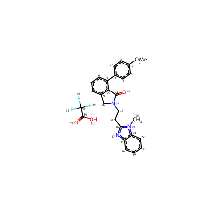 COc1ccc(-c2cccc3c2C(=O)N(CCc2nc4ccccc4n2C)C3)cc1.O=C(O)C(F)(F)F